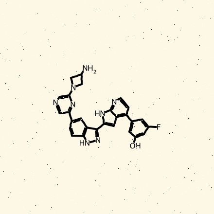 NC1CN(c2cncc(-c3ccc4[nH]nc(-c5cc6c(-c7cc(O)cc(F)c7)ccnc6[nH]5)c4c3)n2)C1